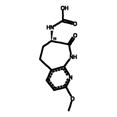 COc1ccc2c(n1)NC(=O)[C@@H](NC(=O)O)CC2